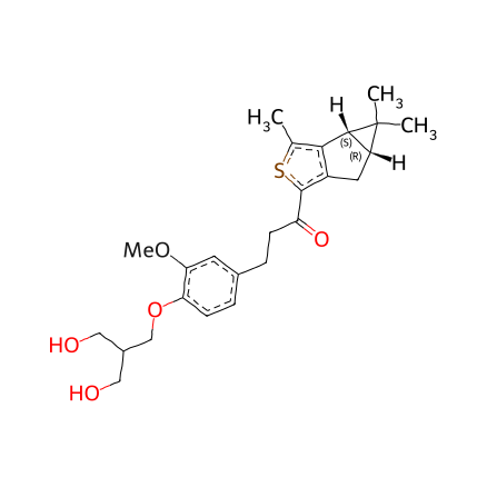 COc1cc(CCC(=O)c2sc(C)c3c2C[C@@H]2[C@H]3C2(C)C)ccc1OCC(CO)CO